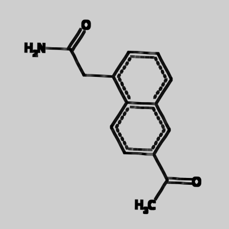 CC(=O)c1ccc2c(CC(N)=O)cccc2c1